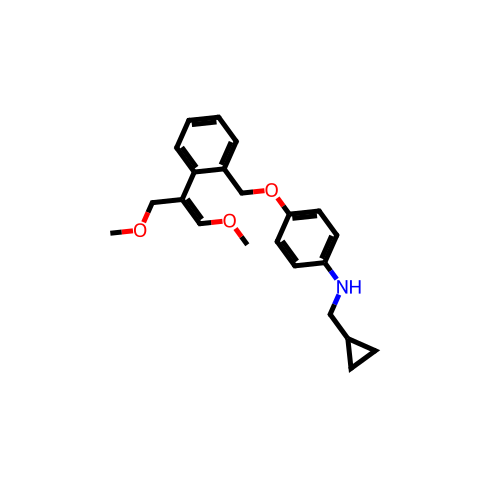 CO/C=C(/COC)c1ccccc1COc1ccc(NCC2CC2)cc1